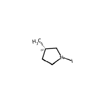 C[C@H]1CCN(I)C1